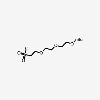 CCCCOCCOCCOCCS(=O)(=O)Cl